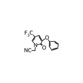 N#CCn1cc(C(F)(F)F)cc(Oc2ccccc2)c1=O